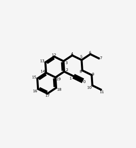 C#Cc1c(CC(CC)CCCC)ccc2ccccc12